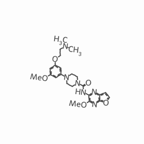 COc1cc(OCCN(C)C)cc(N2CCN(C(=O)Nc3nc4ccoc4nc3OC)CC2)c1